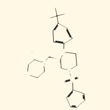 C[C@H]1COCCN1C[C@@H]1CN(S(=O)(=O)c2ccccc2)CCN1c1ccc(C(C)(O)C(F)(F)F)cc1